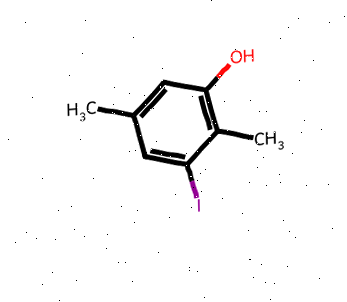 Cc1cc(O)c(C)c(I)c1